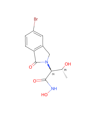 C[C@@H](O)[C@@H](C(=O)NO)N1Cc2cc(Br)ccc2C1=O